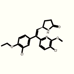 CCOc1ccc(/C(=C/[C@H]2CCC(=O)N2)c2ccc(Cl)c(OC)n2)cc1Cl